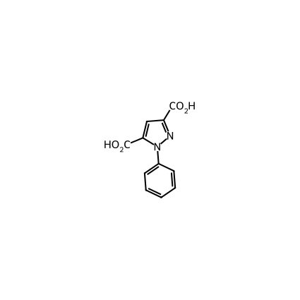 O=C(O)c1cc(C(=O)O)n(-c2ccccc2)n1